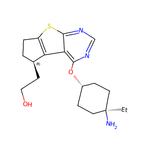 CC[C@]1(N)CC[C@H](Oc2ncnc3sc4c(c23)[C@@H](CCO)CC4)CC1